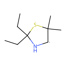 CCC1(CC)N[CH]C(C)(C)S1